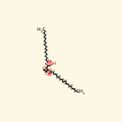 CCCCCCCCCCCCCCCCCC(=O)O[C@H](CO)C1OC[C@H](O)[C@H]1OC(=O)CCCCCCCCCCCCCCCCC